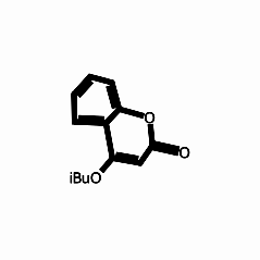 CC(C)COc1cc(=O)oc2ccccc12